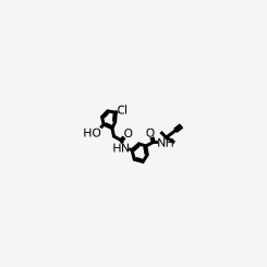 C#CC(C)(C)NC(=O)c1cccc(NC(=O)Cc2cc(Cl)ccc2O)c1